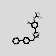 CC(C)Oc1ccc(-c2noc(Cc3ccc(-c4ccccc4)cc3)n2)cc1Cl